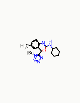 Cc1ccc2c(c1)C(c1nnnn1C(C)(C)C)OC(NC1CCCCC1)=N2